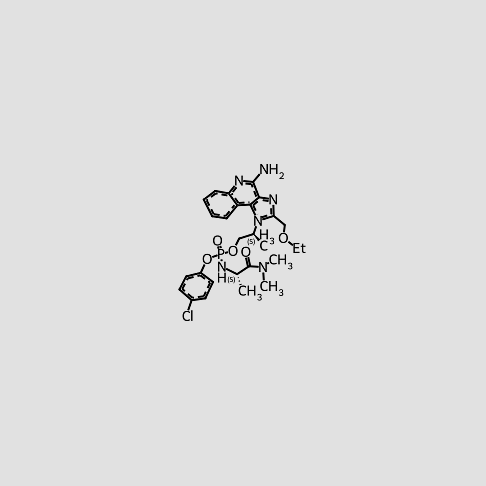 CCOCc1nc2c(N)nc3ccccc3c2n1[C@@H](C)COP(=O)(N[C@@H](C)C(=O)N(C)C)Oc1ccc(Cl)cc1